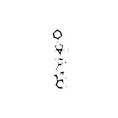 O=c1c2cccnc2ncn1Cc1nc([C@@H]2[C@@H]3CN(c4ccccc4)C[C@@H]32)no1